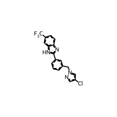 FC(F)(F)c1ccc2nc(-c3cccc(Cn4cc(Cl)cn4)c3)[nH]c2c1